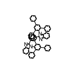 c1ccc(-c2cc(-c3ccccc3)c(-n3c(-c4cccc(-c5nc6ccccc6n5-c5c(-c6ccccc6)cc(-c6ccccc6)cc5-c5ccccc5)c4)nc4ccccc43)c(-c3ccccc3)c2)cc1